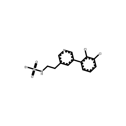 CCS(=O)(=O)NCCc1cncc(-c2cccc(Cl)c2Cl)c1